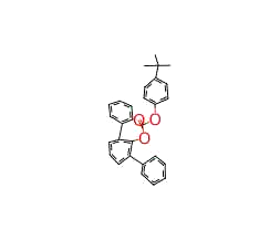 CC(C)(C)c1ccc(OC(=O)Oc2c(-c3ccccc3)cccc2-c2ccccc2)cc1